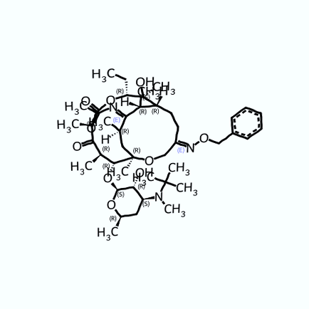 CC[C@H]1OC(=O)[C@H](C)C(=O)[C@H](C)[C@@H](O[C@@H]2O[C@H](C)C[C@H](N(C)C(C)(C)C)[C@H]2O)[C@@]2(C)C[C@@H](C)/C(=N\C(C)=O)[C@H](C)[C@@H](CC/C(=N\OCc3ccccc3)CO2)[C@]1(C)O